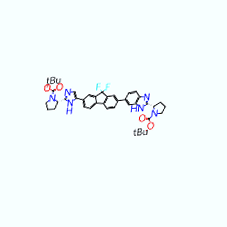 CC(C)(C)OC(=O)N1CCC[C@H]1c1ncc(-c2ccc3c(c2)C(F)(F)c2cc(-c4ccc5nc([C@@H]6CCCN6C(=O)OC(C)(C)C)[nH]c5c4)ccc2-3)[nH]1